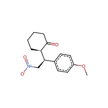 COc1ccc([C@@H](C[N+](=O)[O-])[C@H]2CCCCC2=O)cc1